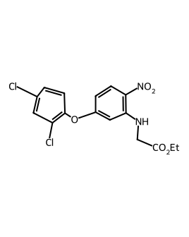 CCOC(=O)CNc1cc(Oc2ccc(Cl)cc2Cl)ccc1[N+](=O)[O-]